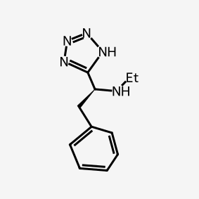 CCN[C@@H](Cc1ccccc1)c1nnn[nH]1